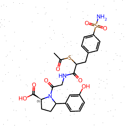 CC(=O)SC(Cc1ccc(S(N)(=O)=O)cc1)C(=O)NCC(=O)N1C(c2cccc(O)c2)CC[C@H]1C(=O)O